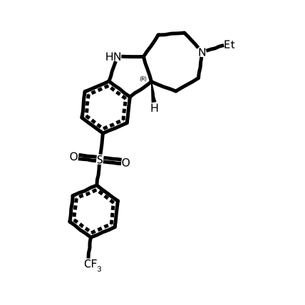 CCN1CCC2Nc3ccc(S(=O)(=O)c4ccc(C(F)(F)F)cc4)cc3[C@H]2CC1